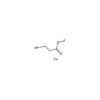 CCCCCC(=O)OF.[Cu]